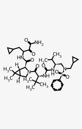 CC(C)[C@@H](CN(CC1CC1)S(=O)(=O)c1ccccc1)NC(=O)N[C@H](C(=O)N1C[C@H]2[C@@H]([C@H]1C(=O)NC(CC1CC1)C(=O)C(N)=O)C2(C)C)C(C)(C)C